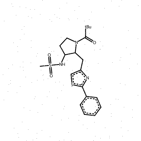 CC(C)(C)C(=O)N1CCC(NS(C)(=O)=O)C1Cc1csc(-c2ccccc2)n1